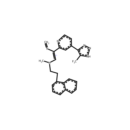 C=N/C(=C\N(C)CCc1cccc2ccccc12)c1cc(-c2nn[nH]c2C(F)(F)F)ccn1